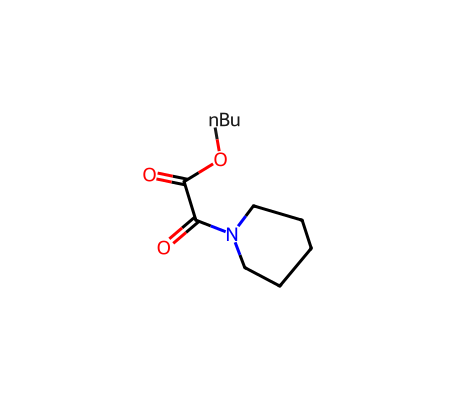 CCCCOC(=O)C(=O)N1CCCCC1